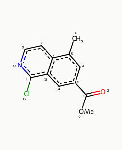 COC(=O)c1cc(C)c2ccnc(Cl)c2c1